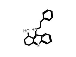 OC1CCCc2nc3ccccc3c(NCCc3ccccc3)c21